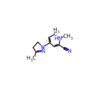 C/C=C(\C=C(\C#N)NC)N1CCC(C)=N1